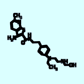 CCN(CCNCO)c1ccc(CCNC(=O)c2sc3nc(C)ccc3c2N)cc1